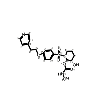 O=C(NO)O[C@@H]1[C@@H](O)CCCN1S(=O)(=O)c1ccc(OCCc2ccncc2)cc1